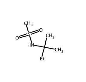 CCC(C)(C)NS(C)(=O)=O